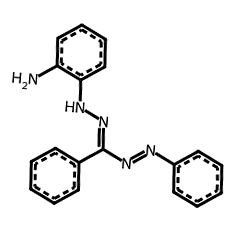 Nc1ccccc1N/N=C(/N=N/c1ccccc1)c1ccccc1